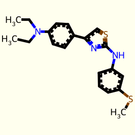 CCN(CC)c1ccc(-c2csc(Nc3cccc(SC)c3)n2)cc1